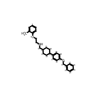 Cc1ccccc1OCCNCC1CCC(c2ccc(OCc3ccccc3)cc2)CC1